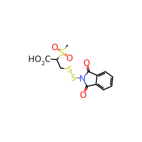 CS(=O)(=O)C(CSSN1C(=O)c2ccccc2C1=O)C(=O)O